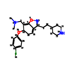 CN(C)CC1=c2onc(CCC3CCNCC3)c2=CCC1Oc1ccc(F)cc1